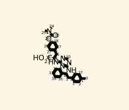 Cc1ccc(CC(Nc2ncnc(N[C@@H](Cc3ccc(OC(=O)N(C)C)cc3)C(=O)O)n2)c2ccccc2)cc1